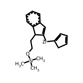 C[Si](C)(C)OCCC1[C]([Zr][C]2=CC=CC2)=Cc2ccccc21